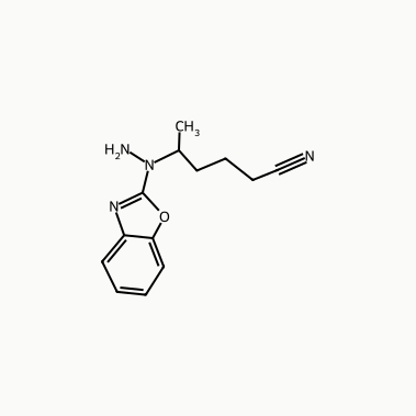 CC(CCCC#N)N(N)c1nc2ccccc2o1